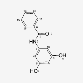 O=C(Nc1cc(O)cc(O)c1)c1ccccc1